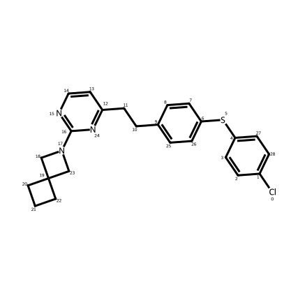 Clc1ccc(Sc2ccc(CCc3ccnc(N4CC5(CCC5)C4)n3)cc2)cc1